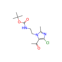 CC(=O)c1c(Cl)nc(C)n1CCNC(=O)OC(C)(C)C